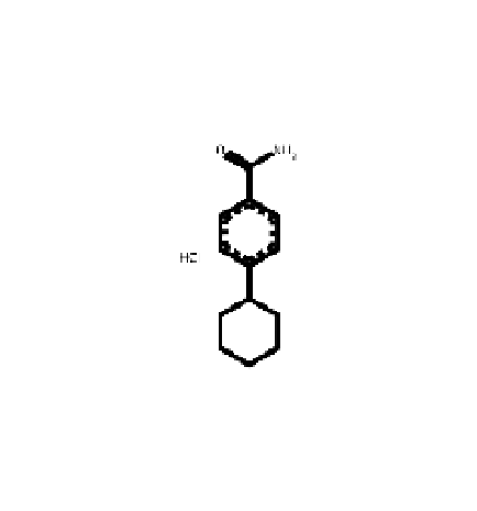 Cl.NC(=O)c1ccc(C2CCCCC2)cc1